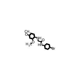 COc1ccc(NCC(=O)Nc2ccc(Br)cc2)c(OC)c1